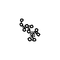 c1ccc(-c2cccc(-n3c4ccccc4c4c3ccc3c5ccccc5n(-c5cccc(-c6nc(-n7c8ccccc8c8ccccc87)nc(-n7c8ccccc8c8ccccc87)n6)c5)c34)c2)cc1